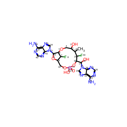 CC1C(O)COC2C(F)C(COP(=O)(O)OC(C(O)n3cnc4c(N)ncnc43)C1F)OC2n1cnc2c(N)ncnc21